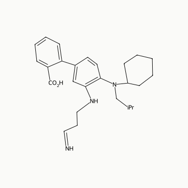 CC(C)CN(c1ccc(-c2ccccc2C(=O)O)cc1NCCC=N)C1CCCCC1